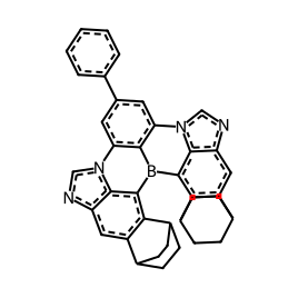 c1ccc(-c2cc3c4c(c2)-n2cnc5cc6c(c(c52)B4c2c4c(cc5ncn-3c25)C2CCC4CC2)C2CCC6CC2)cc1